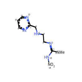 CNC(=NCCNCc1ncccn1)N[N+](=O)[O-]